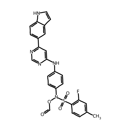 Cc1ccc(S(=O)(=O)N(OC=O)c2ccc(Nc3cc(-c4ccc5[nH]ccc5c4)ncn3)cc2)c(F)c1